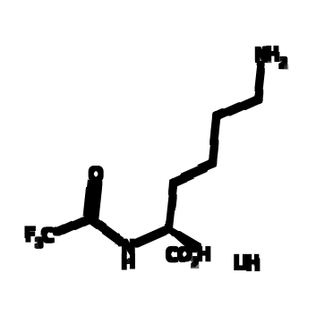 NCCCC[C@H](NC(=O)C(F)(F)F)C(=O)O.[LiH]